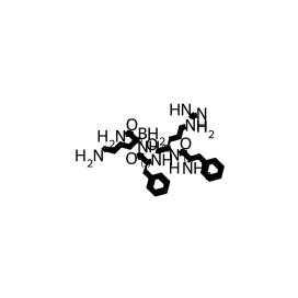 B[C@@](CCCCN)(NC(=O)[C@H](Cc1ccccc1)NC(=O)[C@@H](CCCNC(=N)N)NC(=O)[C@@H](N)Cc1ccccc1)C(N)=O